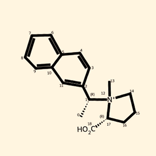 C[C@H](c1ccc2ccccc2c1)[N+]1(C)CCC[C@@H]1C(=O)O